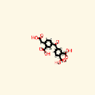 O=C(O)Cc1ccc(C(=O)c2ccc(C(=O)O)c(C(=O)O)c2)cc1C(=O)O